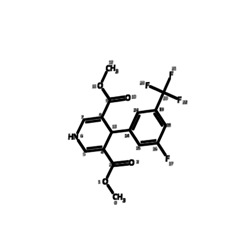 COC(=O)C1=CNC=C(C(=O)OC)C1c1cc(F)cc(C(F)(F)F)c1